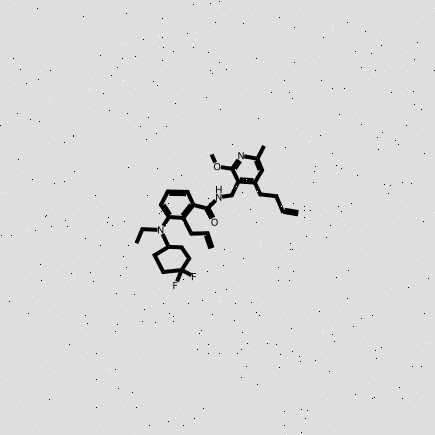 C=CCCc1cc(C)nc(OC)c1CNC(=O)c1cccc(N(CC)C2CCC(F)(F)CC2)c1CC=C